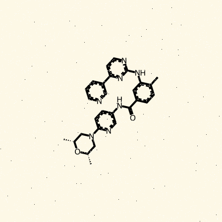 Cc1ccc(C(=O)Nc2ccc(N3C[C@@H](C)O[C@@H](C)C3)nc2)cc1Nc1nccc(-c2cccnc2)n1